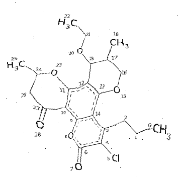 CCCc1c(Cl)c(=O)oc2c3c(c4c(c12)OCC(C)C4OCC)OC(C)CC3=O